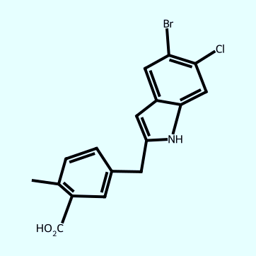 Cc1ccc(Cc2cc3cc(Br)c(Cl)cc3[nH]2)cc1C(=O)O